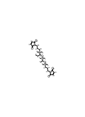 CCC(O[Si](C)(C)C(C)O[Si](C)(C)CCCN1C(=O)C=CC1=O)[Si](C)(C)CCCN1C(=O)C=CC1=O